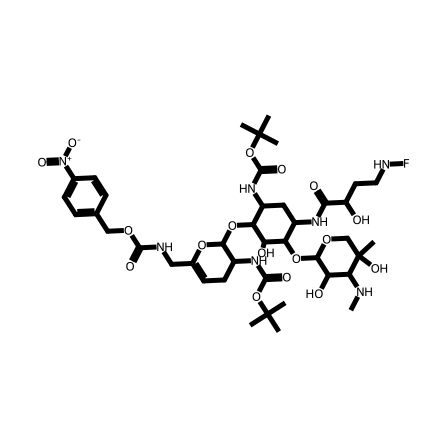 CNC1C(O)C(OC2C(NC(=O)C(O)CCNF)CC(NC(=O)OC(C)(C)C)C(OC3OC(CNC(=O)OCc4ccc([N+](=O)[O-])cc4)=CCC3NC(=O)OC(C)(C)C)C2O)OCC1(C)O